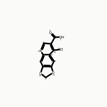 O=C(O)c1cnc2cc3c(cc2c1Cl)OCO3